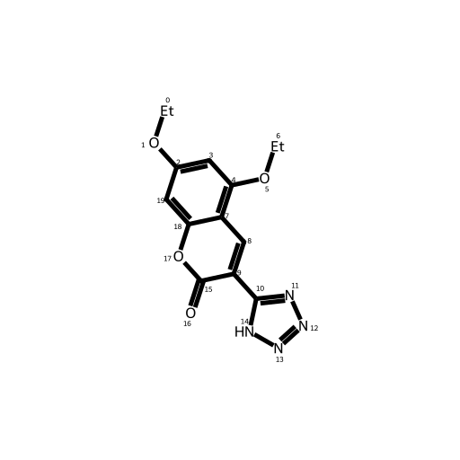 CCOc1cc(OCC)c2cc(-c3nnn[nH]3)c(=O)oc2c1